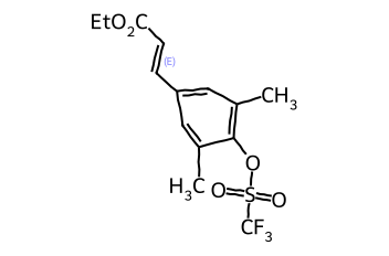 CCOC(=O)/C=C/c1cc(C)c(OS(=O)(=O)C(F)(F)F)c(C)c1